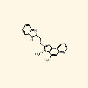 Cc1cc2ncccc2c2nc(CCC3N=C4C=CC=CN4N3)n(C)c12